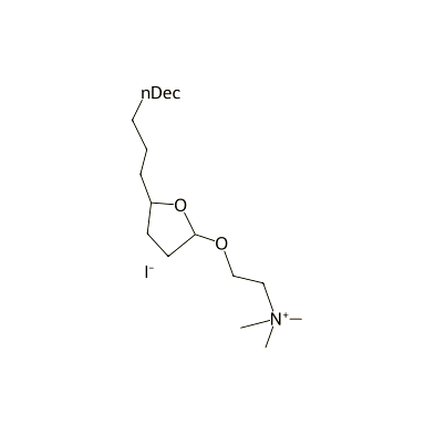 CCCCCCCCCCCCCC1CCC(OCC[N+](C)(C)C)O1.[I-]